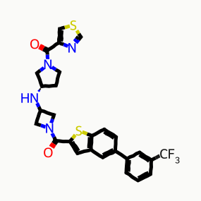 O=C(c1cscn1)N1CC[C@H](NC2CN(C(=O)c3cc4cc(-c5cccc(C(F)(F)F)c5)ccc4s3)C2)C1